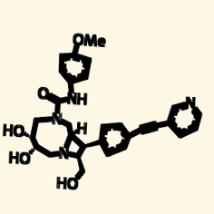 COc1ccc(NC(=O)N2C[C@@H](O)[C@@H](O)CN3[C@H](CO)[C@H](c4ccc(C#Cc5cccnc5)cc4)[C@@H]3C2)cc1